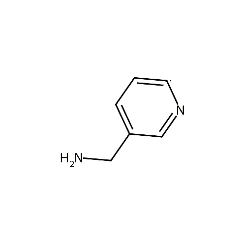 NCc1cc[c]nc1